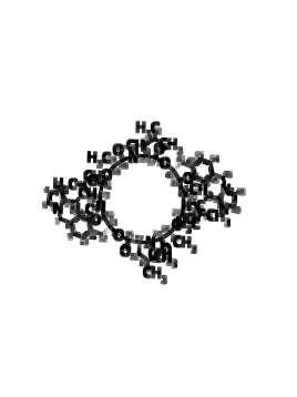 CCc1nccn1Cc1ccc(C[C@H]2OC(=O)[C@H](CC(C)C)N(C)C(=O)[C@@H](C)OC(=O)[C@H](CC(C)C)N(C)C(=O)[C@@H](Cc3ccc(Cn4ccnc4CC)cc3)OC(=O)[C@H](CC(C)C)N(C)C(=O)[C@@H](C)OC(=O)[C@H](CC(C)C)N(C)C2=O)cc1